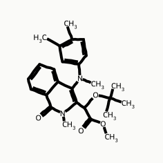 COC(=O)C(OC(C)(C)C)c1c(N(C)c2ccc(C)c(C)c2)c2ccccc2c(=O)n1C